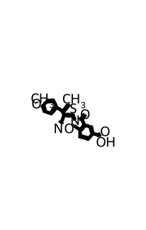 COc1ccc(-c2c(C)sc(N3C(=O)c4ccc(C(=O)O)cc4C3=O)c2C#N)cc1